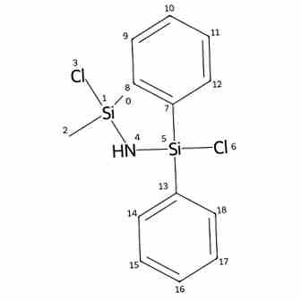 C[Si](C)(Cl)N[Si](Cl)(c1ccccc1)c1ccccc1